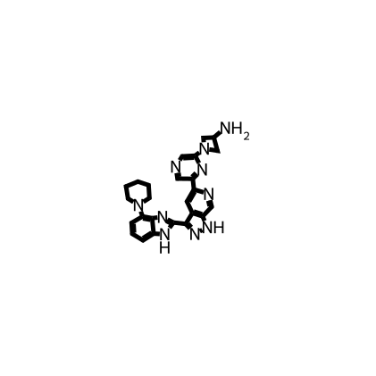 NC1CN(c2cncc(-c3cc4c(-c5nc6c(N7CCCCC7)cccc6[nH]5)n[nH]c4cn3)n2)C1